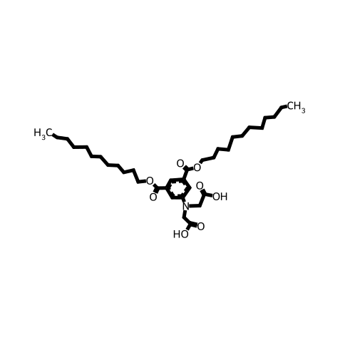 CCCCCCCCCCCCOC(=O)c1cc(C(=O)OCCCCCCCCCCCC)cc(N(CC(=O)O)CC(=O)O)c1